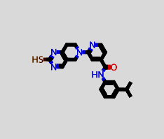 CC(C)c1cccc(NC(=O)c2ccnc(N3CCc4nc(S)ncc4C3)c2)c1